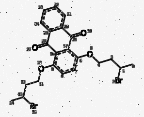 CC(Br)CCOc1ccc(OCCC(C)Br)c2c1C(=O)c1ccccc1C2=O